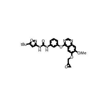 COc1cc2ncnc(Oc3cccc(NC(=O)Nc4cc(C(C)(C)C)on4)c3)c2cc1OCC1CO1